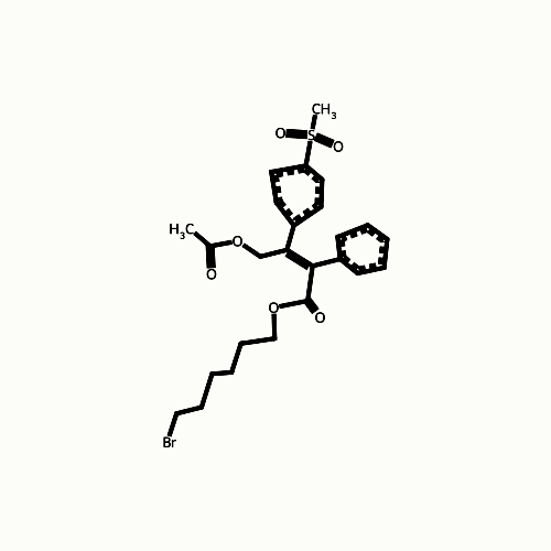 CC(=O)OC/C(=C(\C(=O)OCCCCCCBr)c1ccccc1)c1ccc(S(C)(=O)=O)cc1